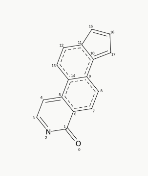 O=C1N=CC=c2c1ccc1c3c(ccc21)C=CC=3